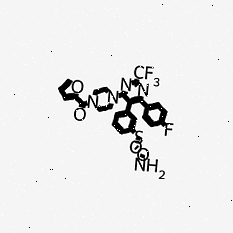 NOOSc1cccc(-c2c(-c3ccc(F)cc3)nc(C(F)(F)F)nc2N2CCN(C(=O)c3ccco3)CC2)c1